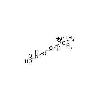 CC(C)(C)OC(=O)NCCOCCOCCNCC(=O)O